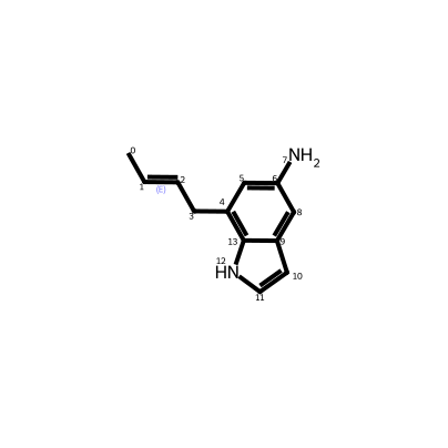 C/C=C/Cc1cc(N)cc2cc[nH]c12